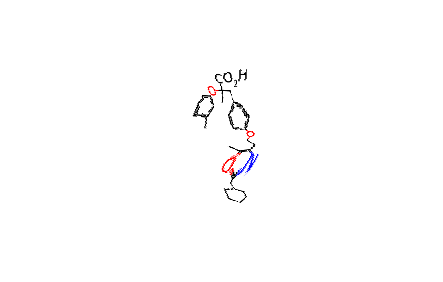 Cc1cccc(OC(C)(Cc2ccc(OCCc3nc(C4CCCCC4)oc3C)cc2)C(=O)O)c1